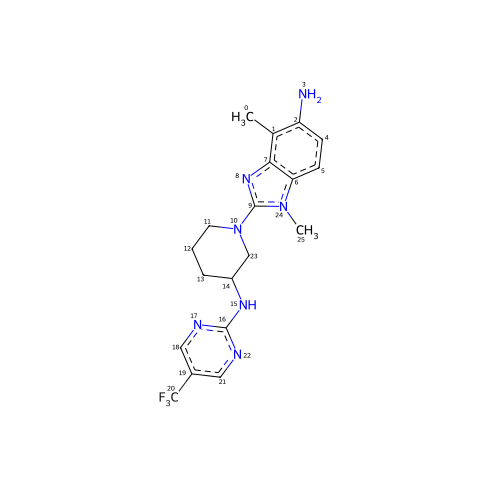 Cc1c(N)ccc2c1nc(N1CCCC(Nc3ncc(C(F)(F)F)cn3)C1)n2C